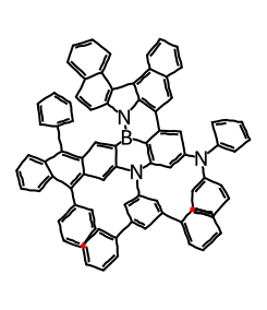 c1ccc(-c2cc(-c3ccccc3)cc(N3c4cc5c(-c6ccccc6)c6ccccc6c(-c6ccccc6)c5cc4B4c5c(cc(N(c6ccccc6)c6ccccc6)cc53)-c3cc5ccccc5c5c6c7ccccc7ccc6n4c35)c2)cc1